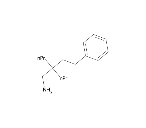 CCCC(CN)(CCC)CCc1ccccc1